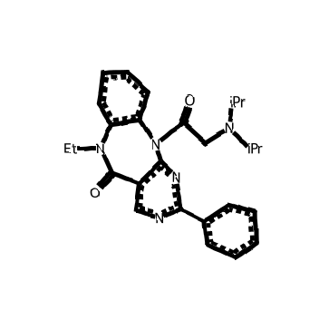 CCN1C(=O)c2cnc(-c3ccccc3)nc2N(C(=O)CN(C(C)C)C(C)C)c2ccccc21